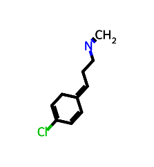 C=NCC/C=C1/C=CC(Cl)=CC1